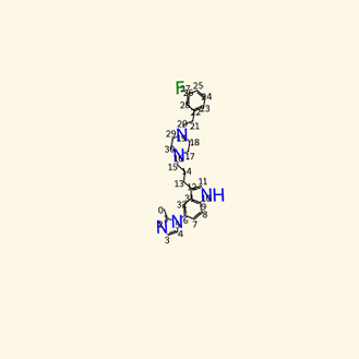 Cc1nccn1-c1ccc2[nH]cc(CCCN3CCN(CCc4cccc(F)c4)CC3)c2c1